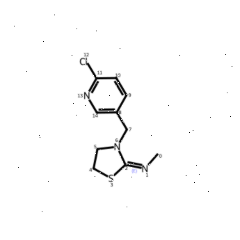 C/N=C1/SCCN1Cc1ccc(Cl)nc1